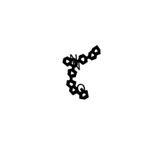 c1ccc2cc(-c3ccc(-c4nc(-c5ccc(-c6ccc7ccc8c9ccccc9oc8c7c6)cc5)c5ccccc5n4)cc3)ccc2c1